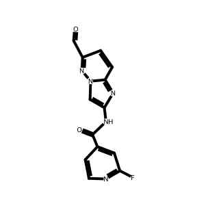 O=Cc1ccc2nc(NC(=O)c3ccnc(F)c3)cn2n1